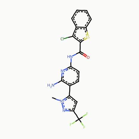 Cn1nc(C(F)(F)F)cc1-c1ccc(NC(=O)c2sc3ccccc3c2Cl)nc1N